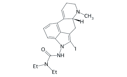 CCN(CC)C(=O)Nn1c(I)c2c3c(cccc31)C1=CCCN(C)[C@@H]1C2